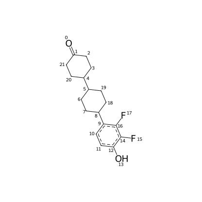 O=C1CCC(C2CCC(c3ccc(O)c(F)c3F)CC2)CC1